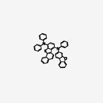 c1ccc(N(c2ccccc2)c2ccc(N(c3ccccc3)c3ccc4c(c3)oc3ccccc34)c3c2sc2c4ccccc4ccc23)cc1